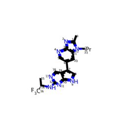 Cc1nc2ncc(-c3c[nH]c4nc(N[C@@H](C)C(F)(F)F)ncc34)cc2n1C(C)C